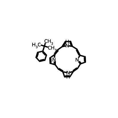 C1=Cc2cc3ccc(cc4nc(cc5ccc(cc1n2)[nH]5)C=C4)[nH]3.CC(C)(C)c1ccccc1